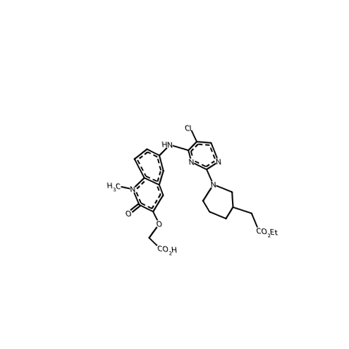 CCOC(=O)CC1CCCN(c2ncc(Cl)c(Nc3ccc4c(c3)cc(OCC(=O)O)c(=O)n4C)n2)C1